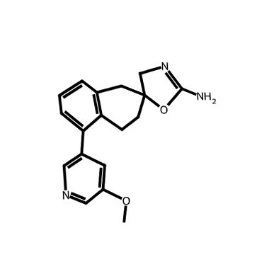 COc1cncc(-c2cccc3c2CCC2(CN=C(N)O2)C3)c1